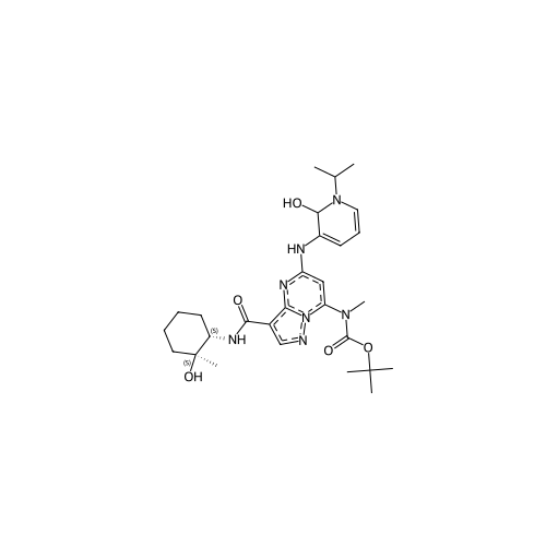 CC(C)N1C=CC=C(Nc2cc(N(C)C(=O)OC(C)(C)C)n3ncc(C(=O)N[C@H]4CCCC[C@]4(C)O)c3n2)C1O